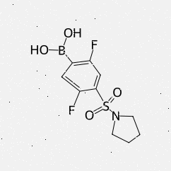 O=S(=O)(c1cc(F)c(B(O)O)cc1F)N1CCCC1